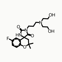 CC1(C)CC2(NC(=O)N(CCCN(CCO)CCO)C2=O)c2cc(F)ccc2O1